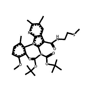 COc1ccc(C)c(-n2c(N(C(=O)OC(C)(C)C)C(=O)OC(C)(C)C)c(C(=O)NCCSC)c3cc(C)c(C)nc32)c1C